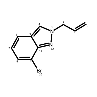 C=CCn1cc2cccc(Br)c2n1